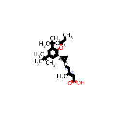 CCCOc1c([C@@H]2C[C@@H]2/C=C/C(C)=C/C(=O)O)cc(C(C)(C)C)cc1C(C)(C)C